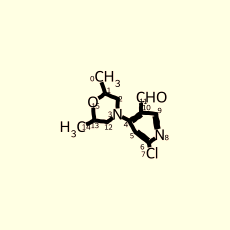 CC1CN(c2cc(Cl)ncc2C=O)CC(C)O1